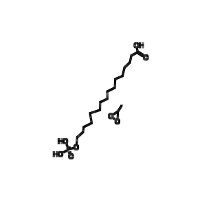 CC1OO1.O=C(O)CCCCCCCCCCCCCCCOP(=O)(O)O